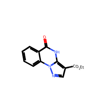 CCOC(=O)c1cnn2c1[nH]c(=O)c1ccccc12